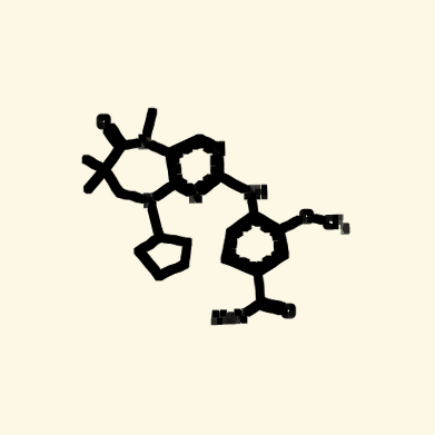 CNC(=O)c1ccc(Nc2ncc3c(n2)N(C2CCCC2)CC(C)(C)C(=O)N3C)c(OC(F)(F)F)c1